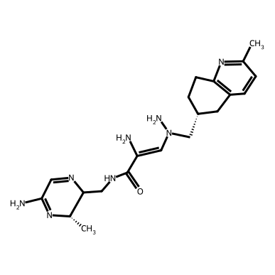 Cc1ccc2c(n1)CC[C@@H](CN(N)/C=C(\N)C(=O)NCC1N=CC(N)=N[C@H]1C)C2